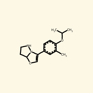 Cc1cc(C2=COC3CCNN23)ccc1OC(C)C